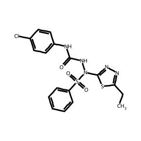 CCc1nnc(N(NC(=O)Nc2ccc(Cl)cc2)S(=O)(=O)c2ccccc2)s1